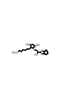 O=C(O)CCCCCCC1[C@@H](CCC(O)c2nc3ccccc3s2)[C@H](O)C[C@@H]1O